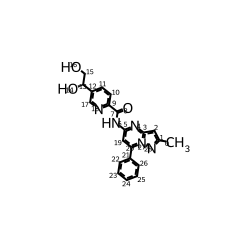 Cc1cc2nc(NC(=O)c3ccc([C@@H](O)CO)cn3)cc(-c3ccccc3)n2n1